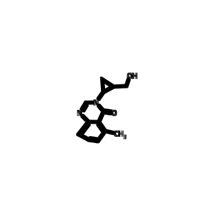 Cc1cccc2ncn(C3CC3CO)c(=O)c12